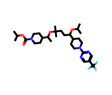 CC(C)OC(=O)N1CCC(C(C)OC(C)(C)CCC(OC(C)C)C2CCN(c3ncc(C(F)(F)F)cn3)CC2)CC1